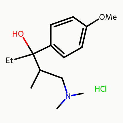 CCC(O)(c1ccc(OC)cc1)C(C)CN(C)C.Cl